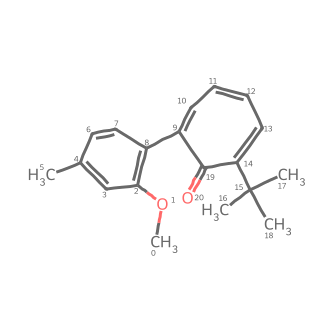 COc1cc(C)ccc1-c1ccccc(C(C)(C)C)c1=O